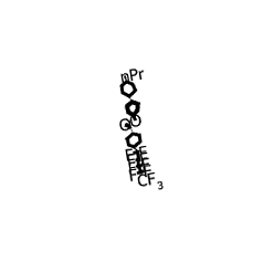 CCC[C@H]1CC[C@H](c2ccc(OC(=O)[C@H]3CC[C@H](C(F)(F)C(F)(F)C(F)(F)C(F)(F)C(F)(F)F)CC3)cc2)CC1